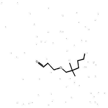 CCCCC(C)(C)COCCC=O